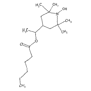 CCCCCC(=O)OC(C)C1CC(C)(C)N(O)C(C)(C)C1